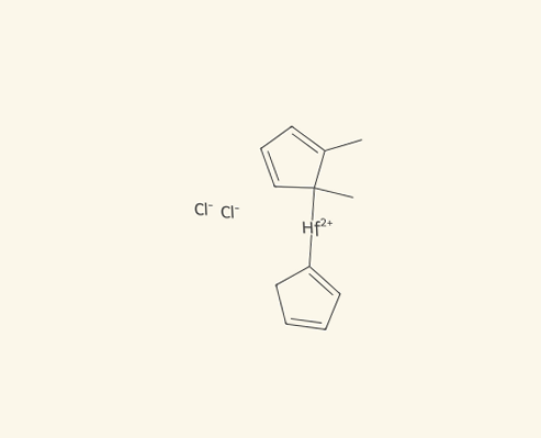 CC1=CC=C[C]1(C)[Hf+2][C]1=CC=CC1.[Cl-].[Cl-]